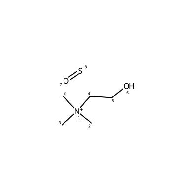 C[N+](C)(C)CCO.O=S